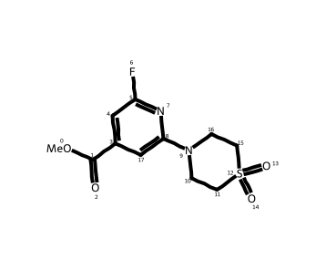 COC(=O)c1cc(F)nc(N2CCS(=O)(=O)CC2)c1